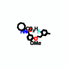 COc1ccc(C(=O)NC2(C(=O)O)CCCCCCC2)cc1OCCc1cc(C)ccc1F